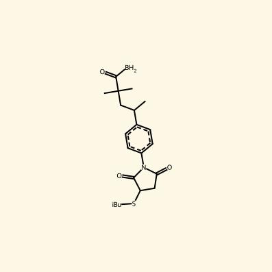 BC(=O)C(C)(C)CC(C)c1ccc(N2C(=O)CC(SC(C)CC)C2=O)cc1